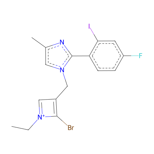 CC[N+]1=CC(Cn2cc(C)nc2-c2ccc(F)cc2I)=C1Br